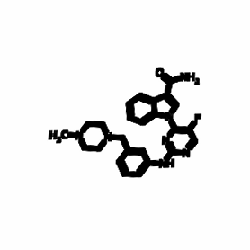 CN1CCN(Cc2cccc(Nc3ncc(F)c(-n4cc(C(N)=O)c5ccccc54)n3)c2)CC1